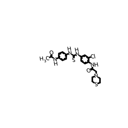 CC(=O)Nc1ccc(NC(=S)Nc2ccc(NC(=O)CN3CCSCC3)c(Cl)c2)cc1